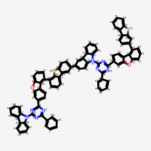 c1ccc(-c2nc(-c3ccc4c(c3)oc3cccc(-c5cccc6c5sc5ccc(-c7ccc8c(c7)c7ccccc7n8-c7nc(-c8ccccc8)nc(-c8ccc9c(c8)oc8cccc(-c%10ccc%11c(c%10)sc%10ccccc%10%11)c89)n7)cc56)c34)nc(-n3c4ccccc4c4ccccc43)n2)cc1